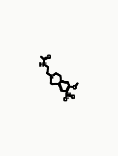 COc1cc2c(cc1[N+](=O)[O-])CCN(CCNC(C)=O)CC2